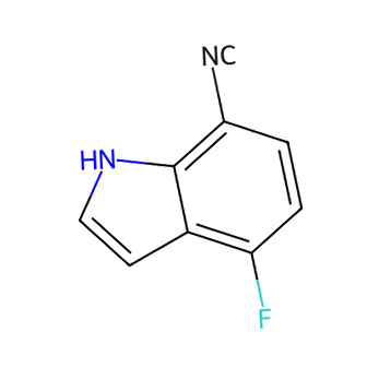 [C-]#[N+]c1ccc(F)c2cc[nH]c12